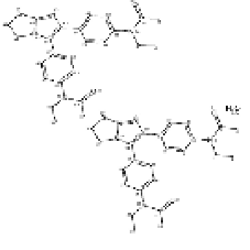 CCN(C(C)=O)c1ccc(-c2nc3n(c2-c2ccc(N(CC)C(C)=O)cc2)CCS3)cc1.CCN(C(C)=O)c1ccc(-c2nc3n(c2-c2ccc(N(CC)C(C)=O)cc2)CCS3)cc1.O